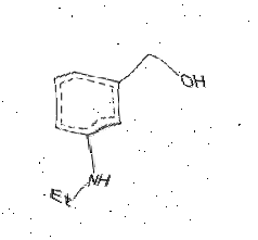 CCNc1cccc(CO)c1